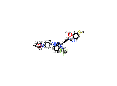 CCOc1cc(SC)ccc1NCC#Cc1cc2c(NC3CCC(N4CC5CC(C4)O5)CC3)cccc2n1CC(F)(F)F